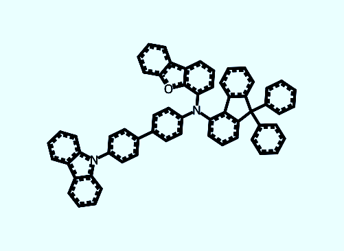 c1ccc(C2(c3ccccc3)c3ccccc3-c3c(N(c4ccc(-c5ccc(-n6c7ccccc7c7ccccc76)cc5)cc4)c4cccc5c4oc4ccccc45)cccc32)cc1